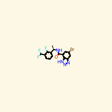 C[C@@H](NC(=O)c1cc(Br)cc2nn[nH]c12)c1cccc(C(F)F)c1F